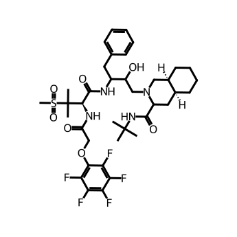 CC(C)(C)NC(=O)C1C[C@@H]2CCCC[C@@H]2CN1CC(O)C(Cc1ccccc1)NC(=O)[C@@H](NC(=O)COc1c(F)c(F)c(F)c(F)c1F)C(C)(C)S(C)(=O)=O